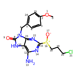 COc1ccc(Cn2c(=O)[nH]c3c(N)nc([S+]([O-])CCCCl)nc32)cc1